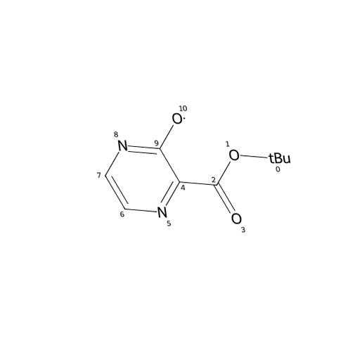 CC(C)(C)OC(=O)c1nccnc1[O]